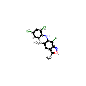 Cc1onc2c(F)c(Nc3ccc(Br)cc3Cl)c(C(=O)O)cc12